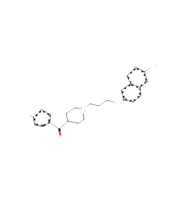 O=C(c1ccc(F)cc1)C1CCN(CCCOc2ccc3cc(Br)ccc3c2)CC1